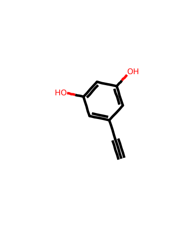 C#Cc1cc(O)cc(O)c1